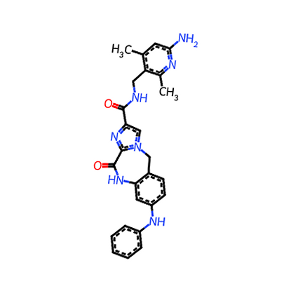 Cc1cc(N)nc(C)c1CNC(=O)c1cn2c(n1)C(=O)Nc1cc(Nc3ccccc3)ccc1C2